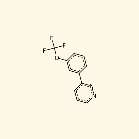 FC(F)(F)Oc1cccc(-c2cccnn2)c1